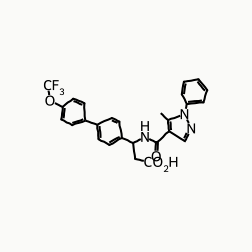 Cc1c(C(=O)NC(CC(=O)O)c2ccc(-c3ccc(OC(F)(F)F)cc3)cc2)cnn1-c1ccccc1